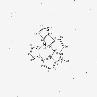 Cn1c2cccc3c4sccc4n4c5ccsc5c5ccc1c(c32)c54